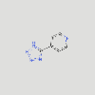 c1cc(-c2nnn[nH]2)ccn1